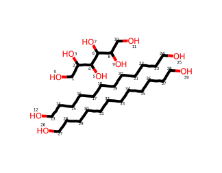 OCC(O)C(O)C(O)C(O)CO.OCCCCCCCCCCCCO.OCCCCCCCCCCCCO